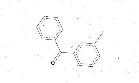 O=C(c1[c]ccc(I)c1)c1ccccc1